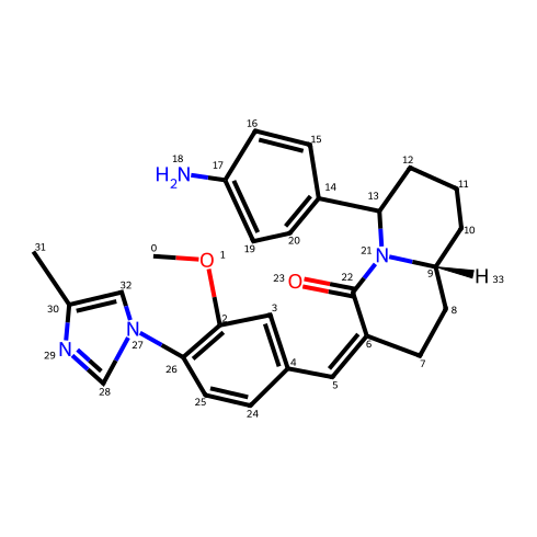 COc1cc(C=C2CC[C@H]3CCCC(c4ccc(N)cc4)N3C2=O)ccc1-n1cnc(C)c1